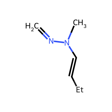 C=NN(C)/C=C/CC